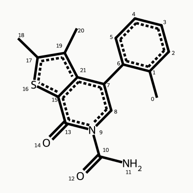 Cc1ccccc1-c1cn(C(N)=O)c(=O)c2sc(C)c(C)c12